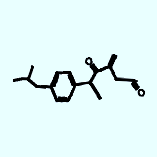 C=C(C[C]=O)C(=O)C(C)c1ccc(CC(C)C)cc1